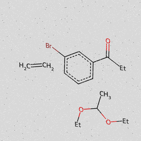 C=C.CCC(=O)c1cccc(Br)c1.CCOC(C)OCC